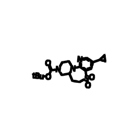 CC(C)(C)OC(=O)N1CCN2c3ncc(C4CC4)cc3S(=O)(=O)CCC2C1